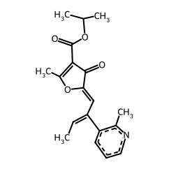 C/C=C(/C=C1\OC(C)=C(C(=O)OC(C)C)C1=O)c1cccnc1C